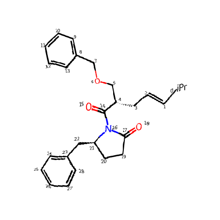 CC(C)/C=C/C[C@@H](COCc1ccccc1)C(=O)N1C(=O)CC[C@H]1Cc1ccccc1